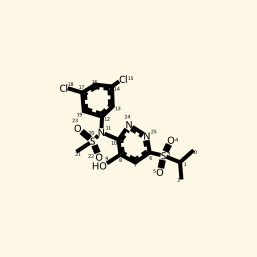 CC(C)S(=O)(=O)c1cc(O)c(N(c2cc(Cl)cc(Cl)c2)S(C)(=O)=O)nn1